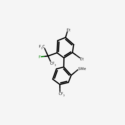 CCc1[c]c(CC)c(-c2ccc(C(F)(F)F)cc2SC)c(C(F)(C(F)(F)F)C(F)(F)F)c1